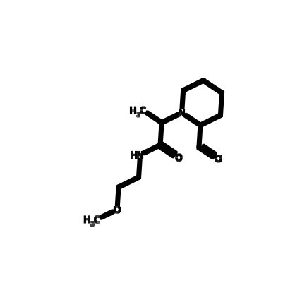 COCCNC(=O)C(C)N1CCCCC1C=O